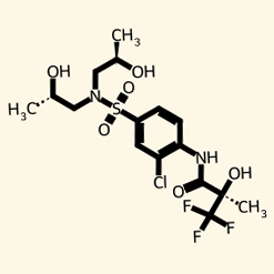 C[C@H](O)CN(C[C@@H](C)O)S(=O)(=O)c1ccc(NC(=O)[C@@](C)(O)C(F)(F)F)c(Cl)c1